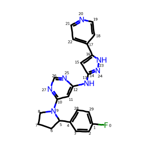 Fc1ccc(C2CCCN2c2cc(Nc3cc(-c4ccncc4)[nH]n3)ncn2)cc1